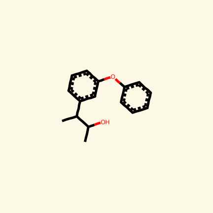 CC(O)C(C)c1cccc(Oc2ccccc2)c1